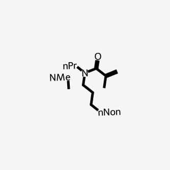 C=C(C)C(=O)N(CCC)CCCCCCCCCCCC.CNC